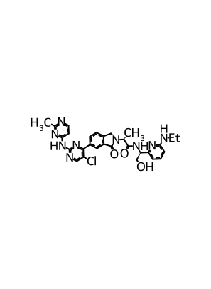 CCNc1cccc([C@@H](CO)NC(=O)[C@@H](C)N2Cc3ccc(-c4nc(Nc5ccnc(C)n5)ncc4Cl)cc3C2=O)n1